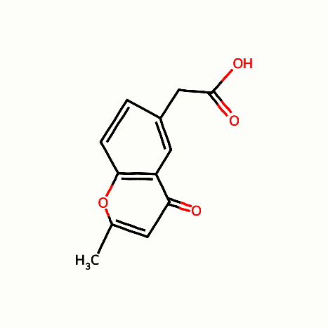 Cc1cc(=O)c2cc(CC(=O)O)ccc2o1